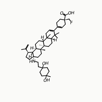 C=C(C)[C@@H]1CC[C@]2(NCCC3(O)CCC(C)(O)CC3)CC[C@]3(C)[C@H](CC[C@@H]4C5(C)CC=C(C6=CC[C@@](CF)(C(=O)O)CC6)C(C)(C)[C@@H]5CC[C@]43C)[C@@H]12